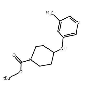 Cc1cncc(NC2CCN(C(=O)OC(C)(C)C)CC2)c1